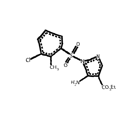 CCOC(=O)c1cnn(S(=O)(=O)c2cccc(Cl)c2C)c1N